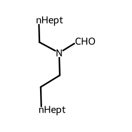 CCCCCCCCCN(C=O)CCCCCCCC